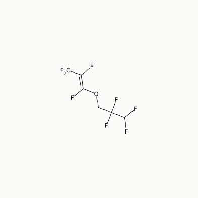 FC(OCC(F)(F)C(F)F)=C(F)C(F)(F)F